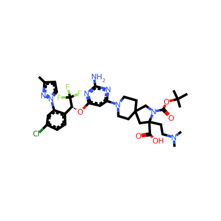 Cc1ccn(-c2cc(Cl)ccc2[C@@H](Oc2cc(N3CCC4(CC3)CN(C(=O)OC(C)(C)C)C(CCN(C)C)(C(=O)O)C4)nc(N)n2)C(F)(F)F)n1